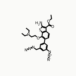 CCOC(=O)c1c(N)sc2c(OCCN(CC)CC)c(-c3cc(CN=[N+]=[N-])cc(N=[N+]=[N-])c3)ccc12